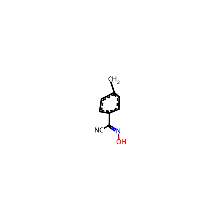 Cc1ccc(C(C#N)=NO)cc1